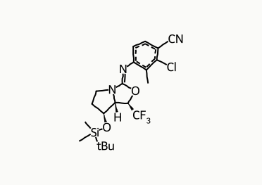 Cc1c(/N=C2\O[C@@H](C(F)(F)F)[C@@H]3[C@@H](O[Si](C)(C)C(C)(C)C)CCN23)ccc(C#N)c1Cl